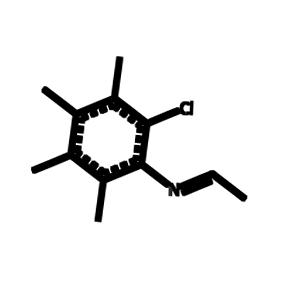 CC=Nc1c(C)c(C)c(C)c(C)c1Cl